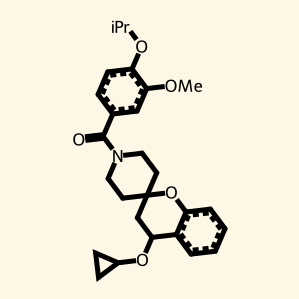 COc1cc(C(=O)N2CCC3(CC2)CC(OC2CC2)c2ccccc2O3)ccc1OC(C)C